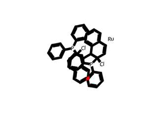 ClC1(P(c2ccccc2)c2ccccc2)C=Cc2ccccc2C1C1c2ccccc2C=CC1(Cl)P(c1ccccc1)c1ccccc1.[Ru]